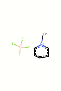 CC(C)[n+]1ccccc1.F[B-](F)(F)F